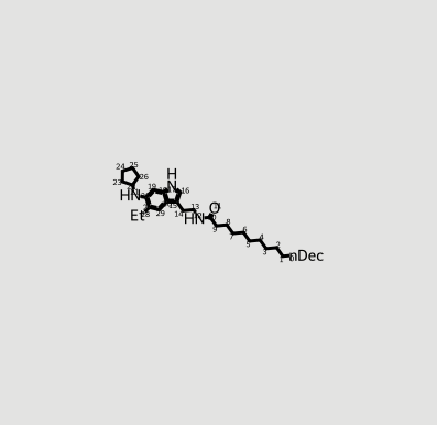 CCCCCCCCCCCCCCCCCCCC(=O)NCCc1c[nH]c2cc(NC3CCCC3)c(CC)cc12